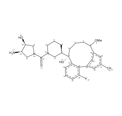 COC1CCC[C@](O)([C@@H]2CCCN(C(=O)N3C[C@@H](N)[C@@H](O)C3)C2)c2cccc(F)c2-c2cc(C)cc1c2